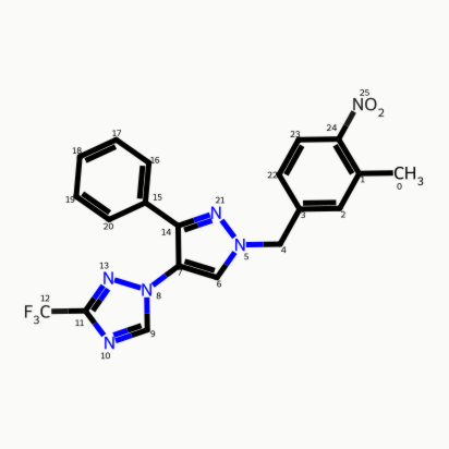 Cc1cc(Cn2cc(-n3cnc(C(F)(F)F)n3)c(-c3ccccc3)n2)ccc1[N+](=O)[O-]